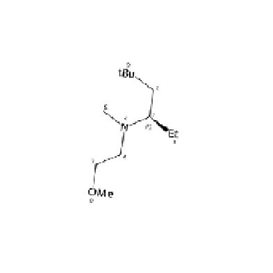 CC[C@H](CC(C)(C)C)N(C)CCOC